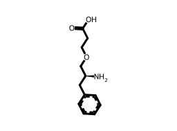 N[C@H](COCCC(=O)O)Cc1ccccc1